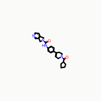 O=C(Nc1ccc(C2=CCN(C(=O)C3CCCC3)CC2)cc1)N1Cc2ccncc2C1